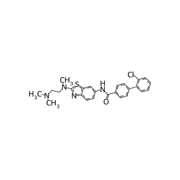 CN(C)CCN(C)c1nc2ccc(NC(=O)c3ccc(-c4ccccc4Cl)cc3)cc2s1